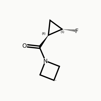 O=C([C@H]1C[C@@H]1F)N1C[CH]C1